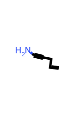 C=CCC#CN